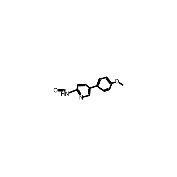 COc1ccc(-c2ccc(N[C]=O)nc2)cc1